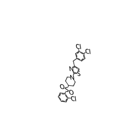 O=S(=O)(c1ccccc1Cl)C1CCN(c2nc(Cc3ccc(Cl)c(Cl)c3)cs2)CC1